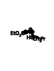 CCCC#CCC(C)[C@@H](O)/C=C/[C@H]1CCC(=O)N1CCc1ccc(C(=O)OCC)cc1